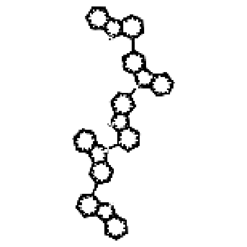 c1ccc2c(c1)oc1c(-c3ccc4c(c3)c3ccccc3n4-c3ccc4oc5c(-n6c7ccccc7c7cc(-c8cccc9c8oc8ccccc89)ccc76)cccc5c4c3)cccc12